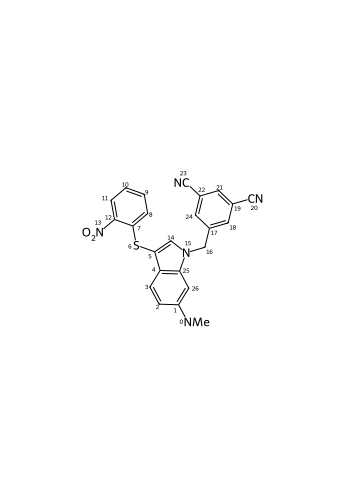 CNc1ccc2c(Sc3ccccc3[N+](=O)[O-])cn(Cc3cc(C#N)cc(C#N)c3)c2c1